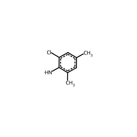 Cc1cc(C)c([NH])c(Cl)c1